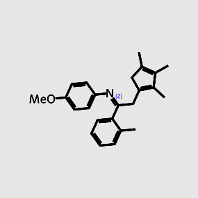 COc1ccc(/N=C(/CC2=C(C)C(C)=C(C)C2)c2ccccc2C)cc1